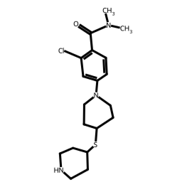 CN(C)C(=O)c1ccc(N2CCC(SC3CCNCC3)CC2)cc1Cl